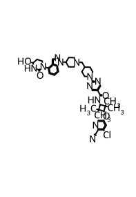 CC1(C)[C@H](NC(=O)c2cnc(N3CCC(CN4CCC(n5ncc6c(N7CCC(O)NC7=O)cccc65)CC4)CC3)nc2)C(C)(C)[C@H]1Oc1cnc(C#N)c(Cl)c1